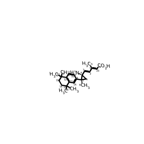 CC(/C=C/[C@]1(N)C[C@]1(C)c1ccc2c(c1)C(C)(C)CCC2(C)C)=C\C(=O)O